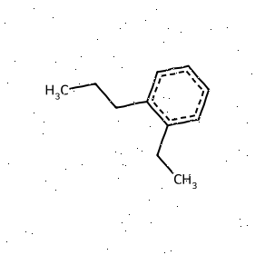 CCCc1ccccc1CC